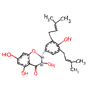 CC(C)=CCc1cc([C@H]2Oc3cc(O)cc(O)c3C(=O)[C@@H]2O)cc(CC=C(C)C)c1O